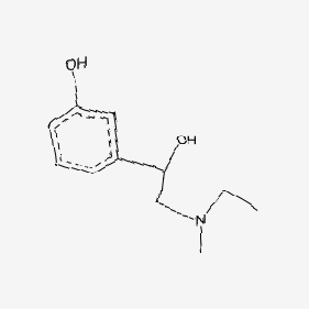 CCN(C)CC(O)c1cccc(O)c1